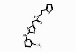 Cc1ccnc(Nc2nc(CC(=O)NCCc3cccs3)cs2)c1